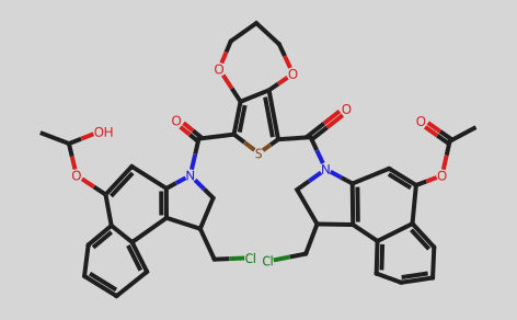 CC(=O)Oc1cc2c(c3ccccc13)C(CCl)CN2C(=O)c1sc(C(=O)N2CC(CCl)c3c2cc(OC(C)O)c2ccccc32)c2c1OCCCO2